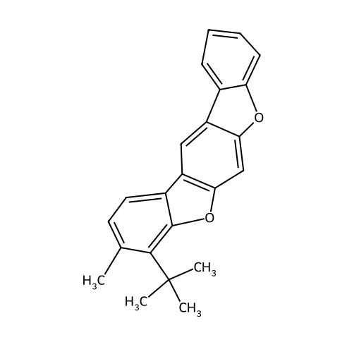 Cc1ccc2c(oc3cc4oc5ccccc5c4cc32)c1C(C)(C)C